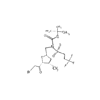 C[C@H]1CC(CN(C(=O)OC(C)(C)C)S(=O)(=O)CCC(F)(F)F)O[C@H]1C(=O)CBr